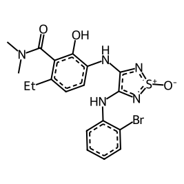 CCc1ccc(Nc2n[s+]([O-])nc2Nc2ccccc2Br)c(O)c1C(=O)N(C)C